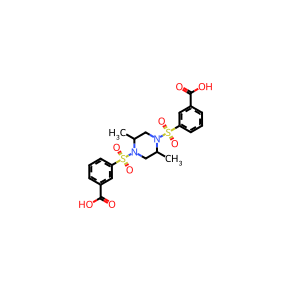 CC1CN(S(=O)(=O)c2cccc(C(=O)O)c2)C(C)CN1S(=O)(=O)c1cccc(C(=O)O)c1